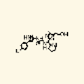 Cc1nc(C(NCC(=O)Nc2cc(-c3ccc(Cl)cc3)[nH]n2)C2CCCCN2)sc1CCO